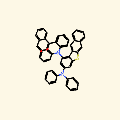 c1ccc(N(c2ccccc2)c2cc(N(c3ccccc3)c3ccccc3-c3cccc4ccccc34)c3c(c2)sc2cc4ccccc4cc23)cc1